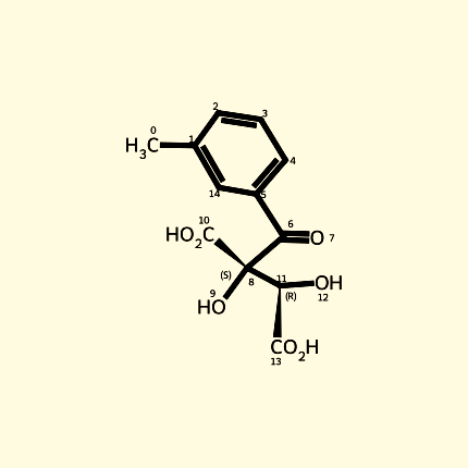 Cc1cccc(C(=O)[C@](O)(C(=O)O)[C@@H](O)C(=O)O)c1